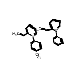 C=Cc1cccc[n+]1-c1ccccc1.C=Cc1cccc[n+]1-c1ccccc1.[Cl-].[Cl-]